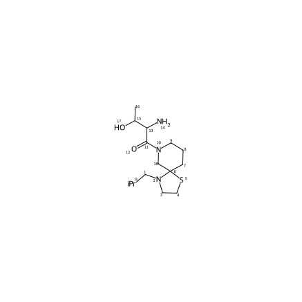 CC(C)CN1CCSC12CCCN(C(=O)C(N)C(C)O)C2